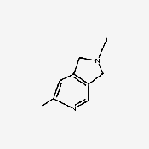 Cc1cc2c(cn1)CN(I)C2